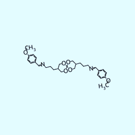 COc1ccc(C=NCCCC2COC3(OC2)OCC(CCCN=Cc2ccc(OC)cc2)CO3)cc1